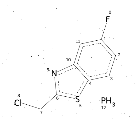 Fc1ccc2sc(CCl)nc2c1.P